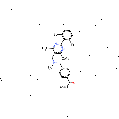 CCc1cccc(CC)c1-c1nc(C)c(CN(C)Cc2ccc(C(=O)OC)cc2)c(OC)n1